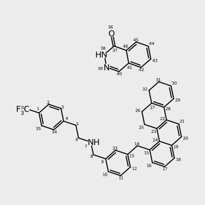 FC(F)(F)c1ccc(CCNCc2cccc(Cc3cccc4ccc5c(c34)CCC3=C5C=CCC3)c2)cc1.O=c1[nH]ncc2ccccc12